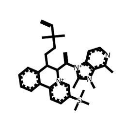 C=CC(C)(C)CCC1c2ccccc2-c2ccc([Si](C)(C)C)c[n+]2C1C(=C)[n+]1c(C)n(C)c2c(C)nccc21